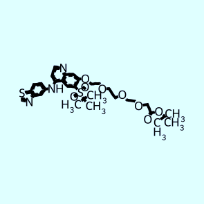 CC(C)(C)OC(=O)COCCOCCOCCOc1cc2nccc(Nc3ccc4scnc4c3)c2cc1S(=O)(=O)C(C)(C)C